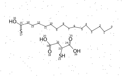 CCCCCCCCCCCCCCCC(O)=S.O=C(O)CC(S)C(=O)O